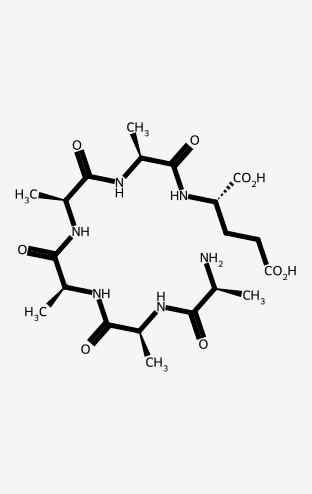 C[C@H](N)C(=O)N[C@@H](C)C(=O)N[C@@H](C)C(=O)N[C@@H](C)C(=O)N[C@@H](C)C(=O)N[C@@H](CCC(=O)O)C(=O)O